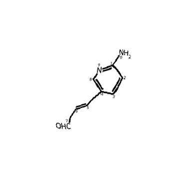 Nc1ccc(C=CC=O)cn1